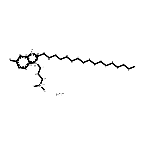 CCCCCCCCCCCCCCCCCc1nc2cc(C)ccc2n1CCCN(C)C.Cl